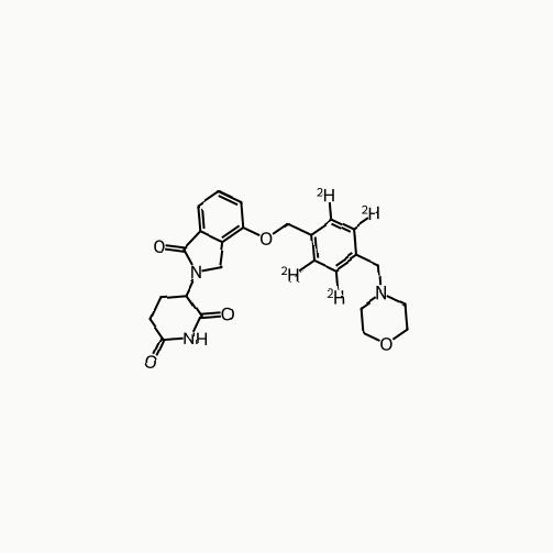 [2H]c1c([2H])c(CN2CCOCC2)c([2H])c([2H])c1COc1cccc2c1CN(C1CCC(=O)NC1=O)C2=O